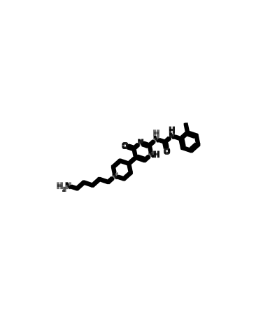 Cc1ccccc1NC(=O)Nc1nc(=O)c(C2CCN(CCCCCN)CC2)c[nH]1